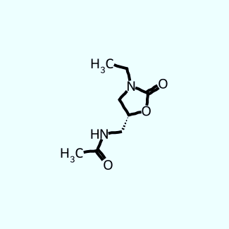 CCN1C[C@@H](CNC(C)=O)OC1=O